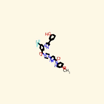 COc1ccc(NC(=O)c2ccc(N3CCN(C(=O)c4cc(-n5cc(-c6cccc(O)c6)cn5)cc(C(F)(F)F)c4)CC3)nn2)cc1